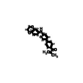 CN(C)C(=O)c1ccc(-c2ccc(Nc3cnc4c(c3)OCCO4)nc2)cc1